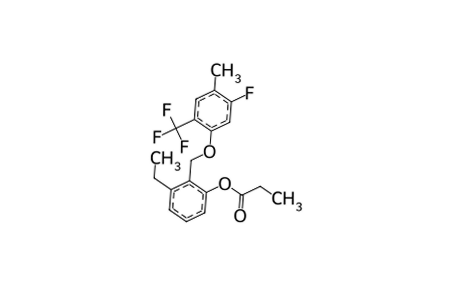 CCC(=O)Oc1cccc(CC)c1COc1cc(F)c(C)cc1C(F)(F)F